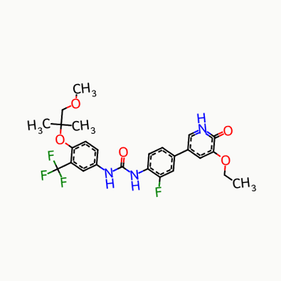 CCOc1cc(-c2ccc(NC(=O)Nc3ccc(OC(C)(C)COC)c(C(F)(F)F)c3)c(F)c2)c[nH]c1=O